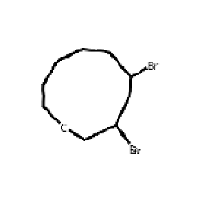 BrC1CCCCCCCC(Br)C1